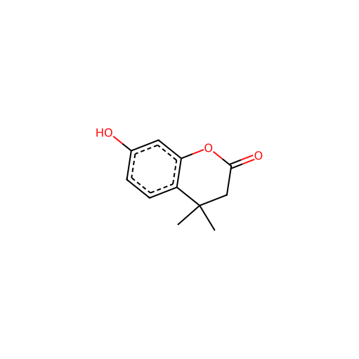 CC1(C)CC(=O)Oc2cc(O)ccc21